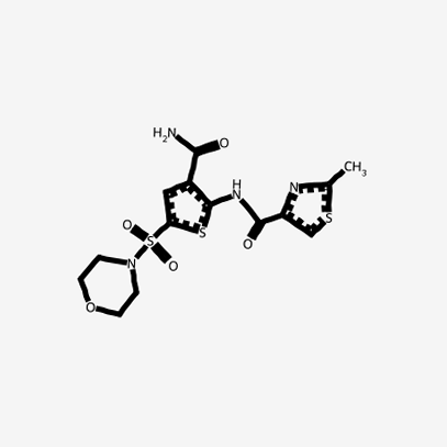 Cc1nc(C(=O)Nc2sc(S(=O)(=O)N3CCOCC3)cc2C(N)=O)cs1